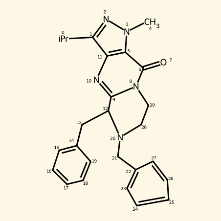 CC(C)c1nn(C)c2c(=O)n3c(nc12)C(Cc1ccccc1)N(Cc1ccccc1)CC3